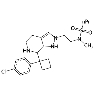 CCCS(=O)(=O)N(C)CCN1C=C2CCNC(C3(c4ccc(Cl)cc4)CCC3)C2N1